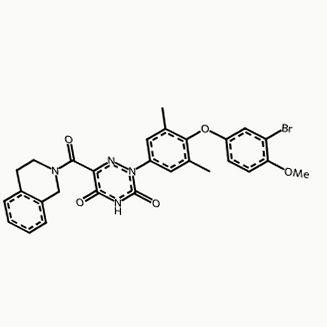 COc1ccc(Oc2c(C)cc(-n3nc(C(=O)N4CCc5ccccc5C4)c(=O)[nH]c3=O)cc2C)cc1Br